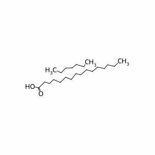 CCCCCCC.CCCCCCCCCCCCCCCC(=O)O